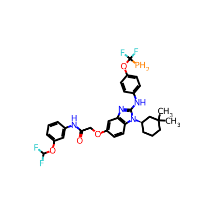 CC1(C)CCC[C@@H](n2c(Nc3ccc(OC(F)(F)P)cc3)nc3cc(OCC(=O)Nc4cccc(OC(F)F)c4)ccc32)C1